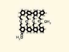 C(=Cc1ccccc1)OC=Cc1ccccc1.C(=Cc1ccccc1)OC=Cc1ccccc1.C(=Cc1ccccc1)OC=Cc1ccccc1.C(=Cc1ccccc1)OC=Cc1ccccc1.C=O.O.O